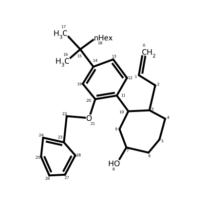 C=CCC1CCCC(O)CC1c1ccc(C(C)(C)CCCCCC)cc1OCc1ccccc1